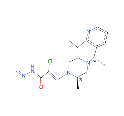 C=NNC(=O)/C(Cl)=C(\C)N1CCN([C@@H](C)c2cccnc2CC)C[C@H]1C